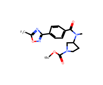 CN(C(=O)c1ccc(-c2noc(C(F)(F)F)n2)cc1)C1CCN(C(=O)OC(C)(C)C)C1